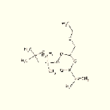 [CH2]COCC(OOC(C)(C)CC(C)(C)C)OC(=O)C(=C)C